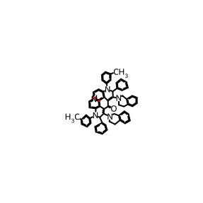 Cc1cccc(N2c3ccncc3C(C(=O)C3=C(N4CCc5ccccc5C4)C(c4ccccc4)N(c4cccc(C)c4)c4ccncc43)=C(N3CCc4ccccc4C3)C2c2ccccc2)c1